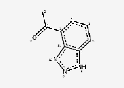 CC(=O)c1cc[c]c2[nH]nnc12